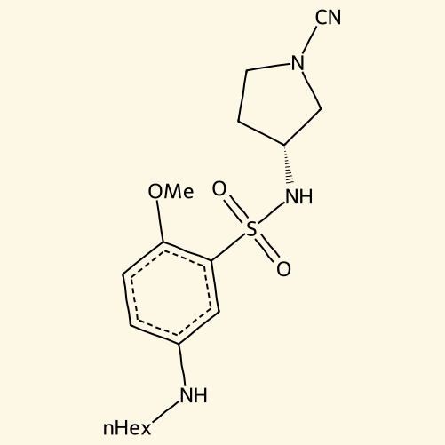 CCCCCCNc1ccc(OC)c(S(=O)(=O)N[C@@H]2CCN(C#N)C2)c1